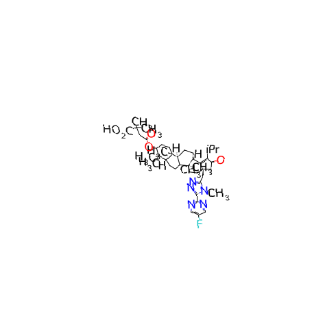 CC(C)C1=C2[C@H]3CC[C@@H]4[C@@]5(C)CC[C@H](OC(=O)CC(C)(C)C(=O)O)C(C)(C)[C@@H]5CC[C@@]4(C)[C@]3(C)CC[C@@]2(Cc2nnc(-c3ncc(F)cn3)n2C)CC1=O